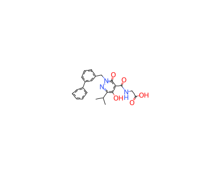 CC(C)c1nn(Cc2cccc(-c3ccccc3)c2)c(=O)c(C(=O)NCC(=O)O)c1O